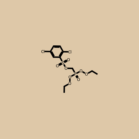 CCOOP(=O)(COS(=O)(=O)c1cc(Cl)ccc1Cl)OOCC